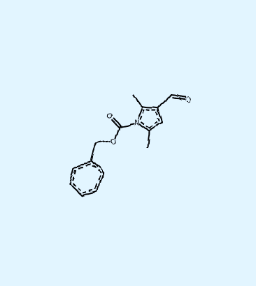 Cc1cc(C=O)c(C)n1C(=O)OCc1ccccc1